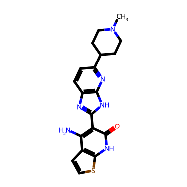 CN1CCC(c2ccc3nc(-c4c(N)c5ccsc5[nH]c4=O)[nH]c3n2)CC1